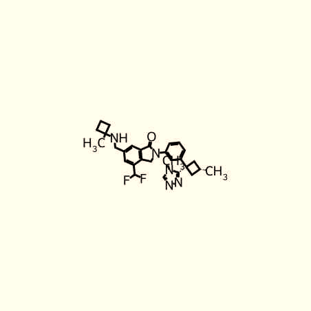 Cn1cnnc1[C@]1(c2cccc(N3Cc4c(cc(CNC5(C)CCC5)cc4C(F)F)C3=O)c2)C[C@H](C)C1